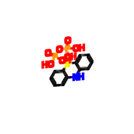 O=P(O)(O)OP(=O)(O)O.c1ccc2c(c1)Nc1ccccc1S2